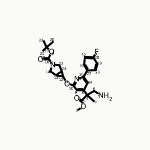 COC(=O)C(C)(CN)c1cc(OC2C3CN(C(=O)OC(C)(C)C)CC32)nc(-c2ccc(F)cc2)c1